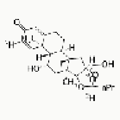 [2H]C1=C[C@@]2(C)C(=CC1=O)CC[C@@H]1[C@@H]2[C@@H](O)C[C@@]2(C)[C@H]1C[C@H]1OC([2H])(CCC)O[C@]12C(=O)CO